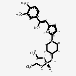 COc1ccc(/C(C#N)=C/c2ccc(N3CCC(OP(=O)(OCC(Cl)(Cl)Cl)OCC(Cl)(Cl)Cl)CC3)o2)cc1OC